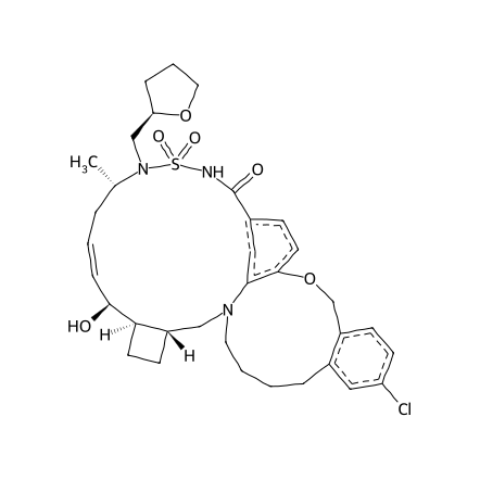 C[C@H]1C/C=C\[C@H](O)[C@@H]2CC[C@H]2CN2CCCCc3cc(Cl)ccc3COc3ccc(cc32)C(=O)NS(=O)(=O)N1C[C@H]1CCCO1